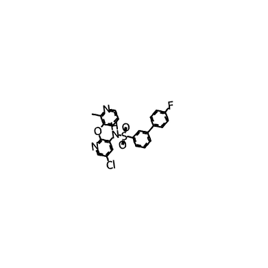 Cc1ncccc1Oc1ncc(Cl)cc1NS(=O)(=O)c1cccc(-c2ccc(F)cc2)c1